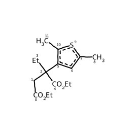 CCOC(=O)CC(CC)(C(=O)OCC)c1cc(C)sc1C